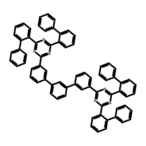 c1ccc(-c2ccccc2-c2nc(-c3cccc(-c4cccc(-c5cccc(-c6nc(-c7ccccc7-c7ccccc7)nc(-c7ccccc7-c7ccccc7)n6)c5)c4)c3)nc(-c3ccccc3-c3ccccc3)n2)cc1